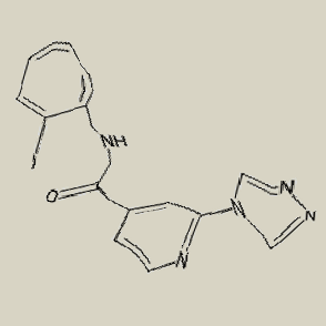 O=C(Nc1ccccc1I)c1ccnc(-n2cnnc2)c1